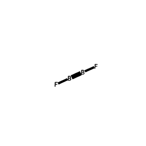 FB=BF